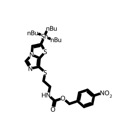 CCC[CH2][Sn]([CH2]CCC)([CH2]CCC)[c]1cn2cnc(SCCNC(=O)OCc3ccc([N+](=O)[O-])cc3)c2s1